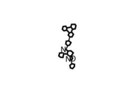 c1ccc(-c2nc3c(ccc4c(-c5ccc(-c6ccc7c8ccccc8c8ccccc8c7c6)cc5)nc5ccccc5c43)o2)cc1